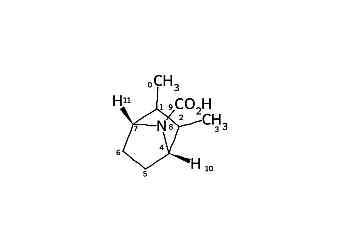 CC1C(C)[C@@H]2CC[C@H]1N2C(=O)O